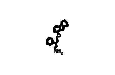 NCCC(CCOc1cccc2c1Cc1ccccc1-2)c1ccccc1